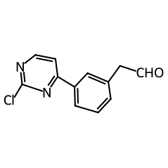 O=CCc1cccc(-c2ccnc(Cl)n2)c1